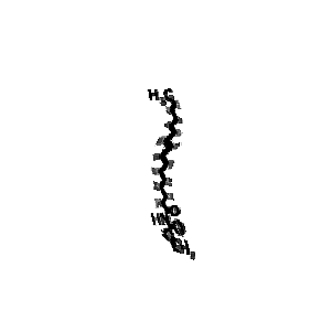 CCCCCCCCCCCCCCCC(=O)NC(=O)OC